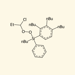 CCCCc1ccc([Si](CCCC)(OOC(Cl)CC)c2ccccc2)c(CCCC)c1CCCC